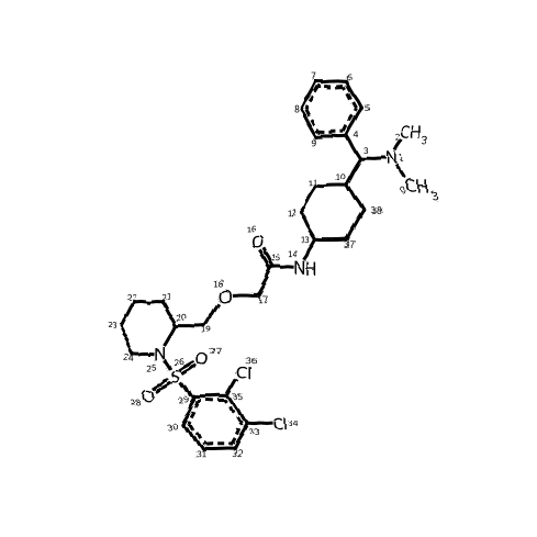 CN(C)C(c1ccccc1)C1CCC(NC(=O)COCC2CCCCN2S(=O)(=O)c2cccc(Cl)c2Cl)CC1